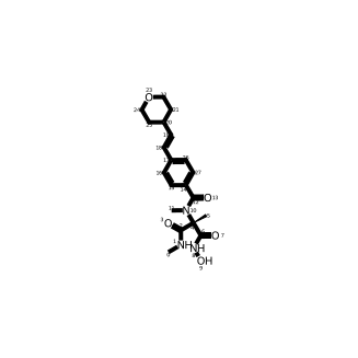 CNC(=O)[C@@](C)(C(=O)NO)N(C)C(=O)c1ccc(/C=C/C2CCOCC2)cc1